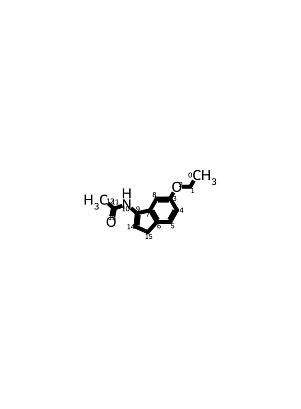 CCOc1ccc2c(c1)C(NC(C)=O)=CC2